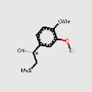 CCOc1cc([C@H](CSC)N=O)ccc1OC